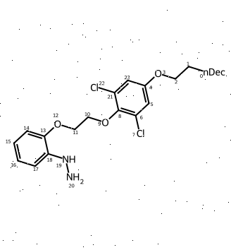 CCCCCCCCCCCCOc1cc(Cl)c(OCCOc2ccccc2NN)c(Cl)c1